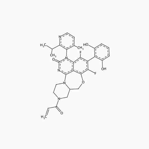 C=CC(=O)N1CCN2c3nc(=O)n(-c4c(C)ccnc4C(C)C)c4c(F)c(-c5c(O)cccc5O)c(F)c(c34)OCC2C1